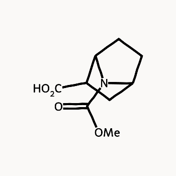 COC(=O)N1C2CCC1C(C(=O)O)C2